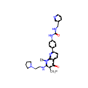 CCn1c(NCCN2CCCC2)c(C(=O)O)c(=O)c2ccc(-c3ccc(NC(=O)NCc4cccnc4)cc3)nc21